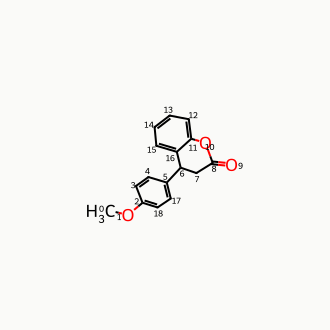 COc1ccc(C2CC(=O)Oc3ccccc32)cc1